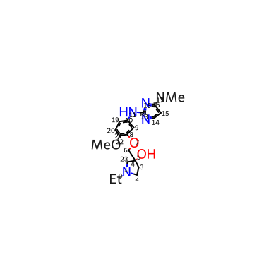 CCN1CC[C@@](O)(COc2cc(Nc3nccc(NC)n3)ccc2OC)C1